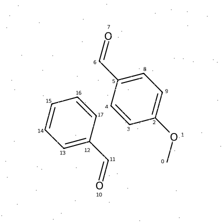 COc1ccc(C=O)cc1.O=Cc1ccccc1